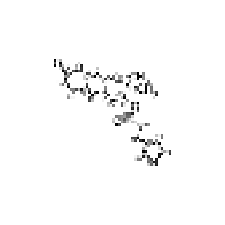 CC1(C)Oc2cc3oc(=O)ccc3cc2C[C@H]1OC(=O)CCn1ccnc1